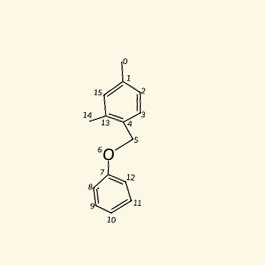 Cc1ccc(COc2[c]cccc2)c(C)c1